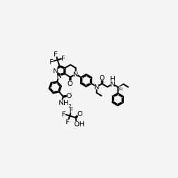 CC[C@H](NCC(=O)N(CC)c1ccc(N2CCc3c(C(F)(F)F)nn(-c4cccc(C(N)=O)c4)c3C2=O)cc1)c1ccccc1.O=C(O)C(F)(F)F